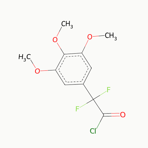 COc1cc(C(F)(F)C(=O)Cl)cc(OC)c1OC